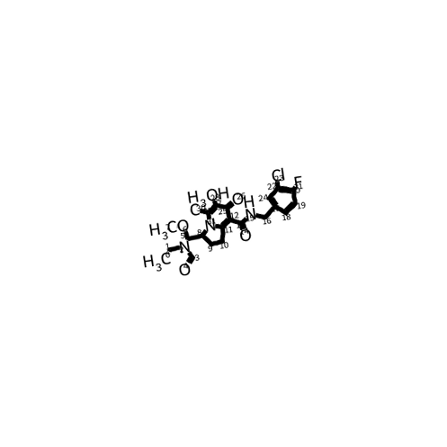 CCN(C=O)C(OC)C1CCc2c(C(=O)NCc3ccc(F)c(Cl)c3)c(=O)c(O)c(C)n21